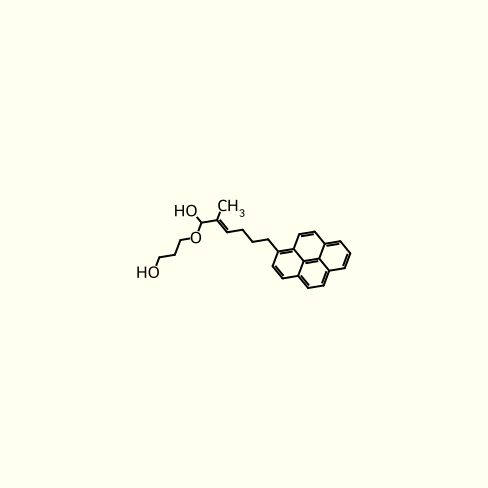 C/C(=C\CCCc1ccc2ccc3cccc4ccc1c2c34)C(O)OCCCO